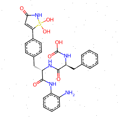 Nc1ccccc1NC(=O)[C@H](Cc1ccc(C2=CC(=O)NS2(O)O)cc1)NC(=O)[C@H](Cc1ccccc1)NC(=O)O